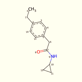 CCc1ccc(CC(=O)NC2CC2)cc1